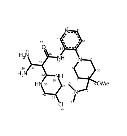 COC1(CN(C)C)CCN(c2ccncc2NC(=O)C(C(N)N)C2NCC(Cl)CN2)CC1